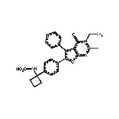 Cc1nc2oc(-c3ccc(C4(NC(=O)O)CCC4)cc3)c(-c3ccccc3)c2c(=O)n1CC(F)(F)F